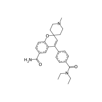 CCN(CC)C(=O)c1ccc(C2=CC3(CCN(C)CC3)Oc3ccc(C(N)=O)cc32)cc1